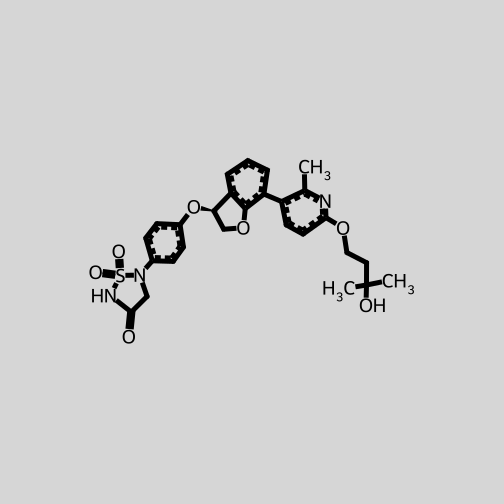 Cc1nc(OCCC(C)(C)O)ccc1-c1cccc2c1OC[C@H]2Oc1ccc(N2CC(=O)NS2(=O)=O)cc1